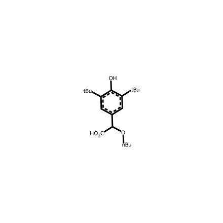 CCCCOC(C(=O)O)c1cc(C(C)(C)C)c(O)c(C(C)(C)C)c1